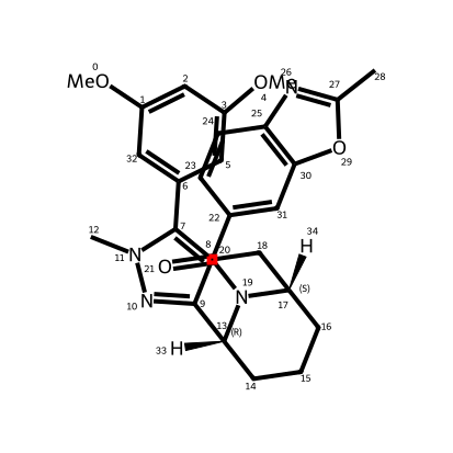 COc1cc(OC)cc(-c2c3c(nn2C)[C@H]2CCC[C@@H](C3)N2C(=O)c2ccc3nc(C)oc3c2)c1